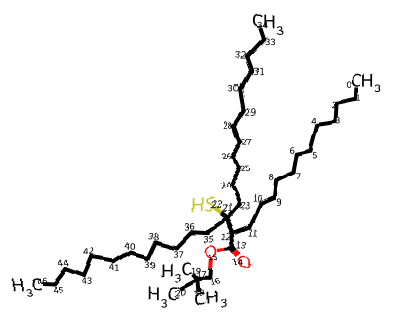 CCCCCCCCCCCCC(C(=O)OCC(C)(C)C)C(S)(CCCCCCCCCCCC)CCCCCCCCCCCC